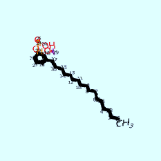 CCCCCCCCCCCCCCCCCCc1cccc(O[PH](=O)O)c1OI